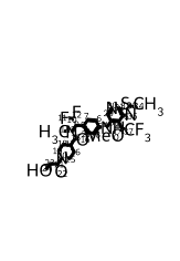 CO[C@H](c1c(Nc2ccc([C@@H](C(F)F)N(C)C(=O)C3CCN(C(=O)CO)CC3)cc2)cnc2sc(C)nc12)C(F)(F)F